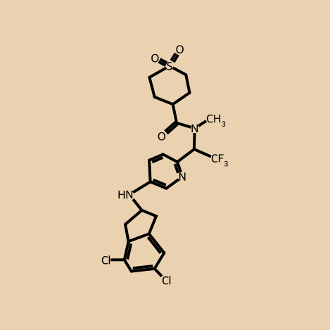 CN(C(=O)C1CCS(=O)(=O)CC1)C(c1ccc(NC2Cc3cc(Cl)cc(Cl)c3C2)cn1)C(F)(F)F